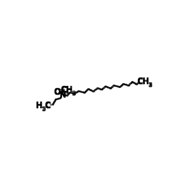 CCCCCCCCCCCCCCCCCC[N+](C)([O-])CCCC